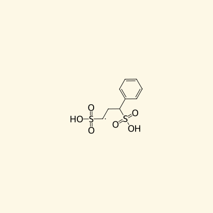 O=S(=O)(O)[CH]CC(c1ccccc1)S(=O)(=O)O